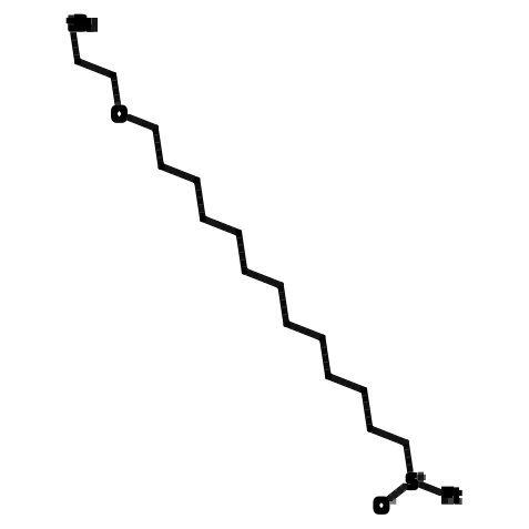 CC[S+]([O-])CCCCCCCCCCCCCOCCC(C)(C)C